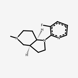 CN1CC[C@@H]2[C@@H](CCN2c2ncccc2F)C1